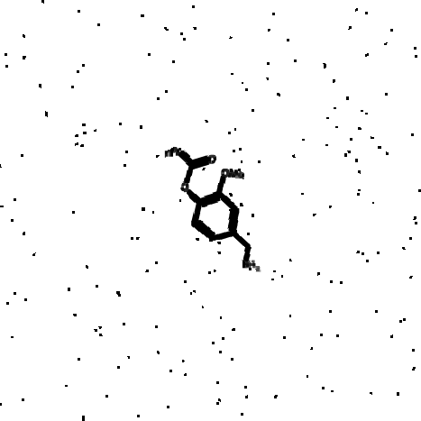 BCc1ccc(OC(=O)CCC)c(OC)c1